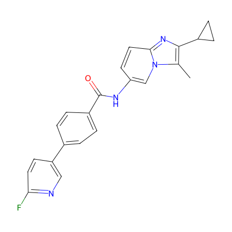 Cc1c(C2CC2)nc2ccc(NC(=O)c3ccc(-c4ccc(F)nc4)cc3)cn12